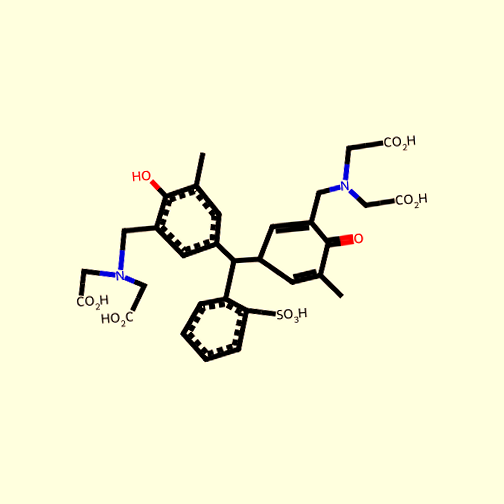 CC1=CC(C(c2cc(C)c(O)c(CN(CC(=O)O)CC(=O)O)c2)c2ccccc2S(=O)(=O)O)C=C(CN(CC(=O)O)CC(=O)O)C1=O